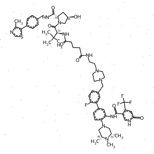 Cc1ncsc1-c1ccc(CNC(=O)[C@@H]2C[C@@H](O)CN2C(=O)[C@@H](NC(=O)CCCC(=O)NCCN2CCN(Cc3ccc(F)c(-c4ccc(N5C[C@@H](C)N(C)[C@@H](C)C5)c(NC(=O)c5c[nH]c(=O)cc5C(F)(F)F)c4)c3)CC2)C(C)(C)C)cc1